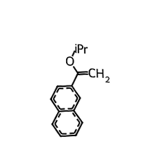 C=C(OC(C)C)c1ccc2ccccc2c1